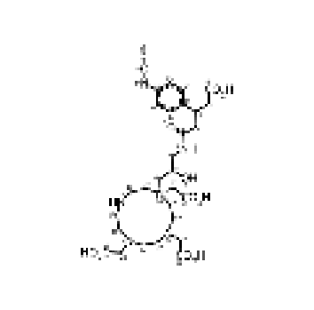 O=C(O)CC(CC(=O)NCC(O)C[N+]1(CC(=O)O)CCNCCN(CC(=O)O)CCN(CC(=O)O)CC1)c1ccc(N=C=S)cc1